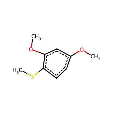 COc1ccc(SC)c(OC)c1